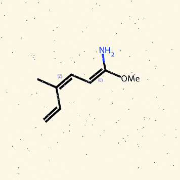 C=C/C(C)=C\C=C(/N)OC